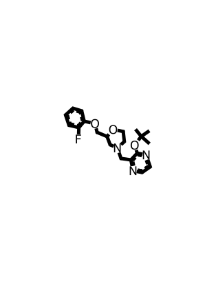 CC(C)(C)Oc1nccnc1CN1CCOC(COc2ccccc2F)C1